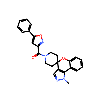 Cn1ncc2c1-c1ccccc1OC21CCN(C(=O)c2cc(-c3ccccc3)on2)CC1